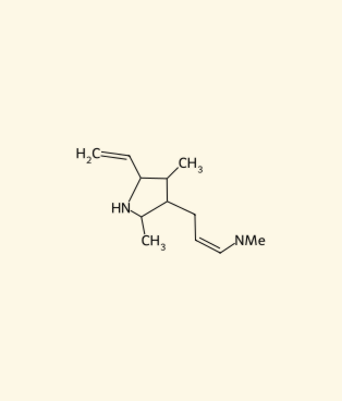 C=CC1NC(C)C(C/C=C\NC)C1C